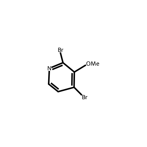 COc1c(Br)ccnc1Br